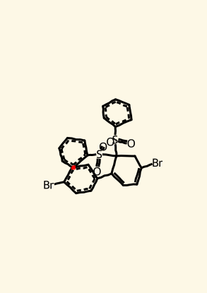 O=S(=O)(c1ccccc1)C1(S(=O)(=O)c2ccccc2)CC(Br)=CC=C1c1ccc(Br)cc1